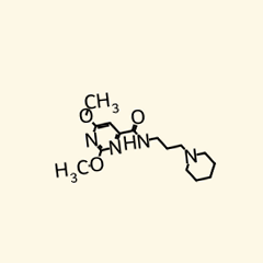 COc1cc(C(=O)NCCCN2CCCCC2)nc(OC)n1